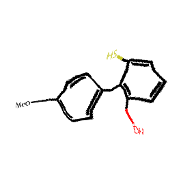 COc1ccc(-c2c(O)cccc2S)cc1